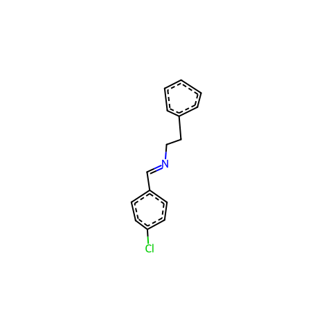 Clc1ccc(C=NCCc2ccccc2)cc1